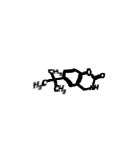 CC(C)(C)c1ccc2c(c1)CNC(=O)O2